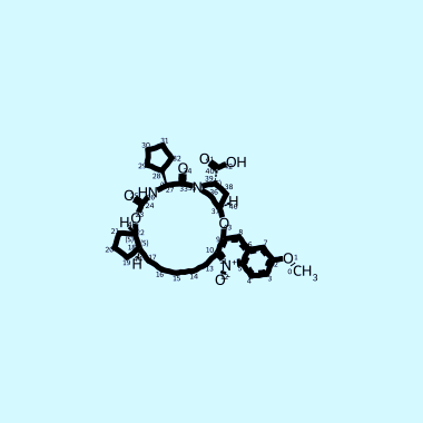 COc1ccc2c(c1)cc1c([n+]2[O-])CCCCC[C@H]2CCC[C@@H]2OC(=O)N[C@@H](C2CCCC2)C(=O)N2C[C@@H](C[C@H]2C(=O)O)O1